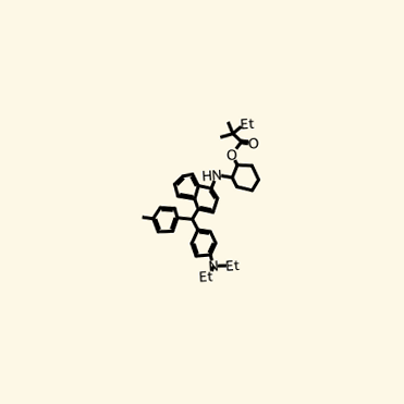 CCN(CC)c1ccc(C(c2ccc(C)cc2)c2ccc(NC3CCCCC3OC(=O)C(C)(C)CC)c3ccccc23)cc1